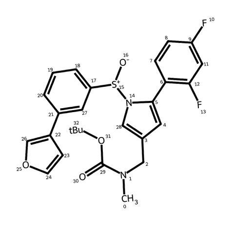 CN(Cc1cc(-c2ccc(F)cc2F)n([S+]([O-])c2cccc(-c3ccoc3)c2)c1)C(=O)OC(C)(C)C